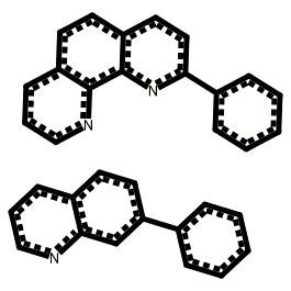 c1ccc(-c2ccc3ccc4cccnc4c3n2)cc1.c1ccc(-c2ccc3cccnc3c2)cc1